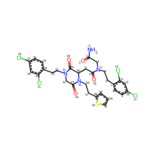 NC(=O)CN(CCc1ccc(Cl)cc1Cl)C(=O)CC1C(=O)N(CCc2ccc(Cl)cc2Cl)CC(=O)N1CCc1cccs1